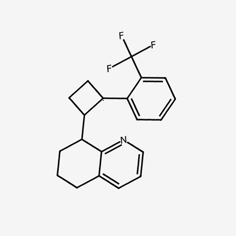 FC(F)(F)c1ccccc1[C]1CCC1C1CCCc2cccnc21